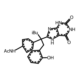 CCC(C)C(Cc1ccccc1O)(c1ccc(NC(C)=O)cc1)c1nc2[nH]c(=O)[nH]c(=O)c2[nH]1